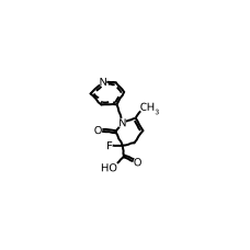 CC1=CCC(F)(C(=O)O)C(=O)N1c1ccncc1